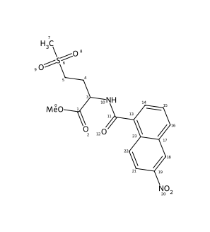 COC(=O)C(CCS(C)(=O)=O)NC(=O)c1cccc2cc([N+](=O)[O-])ccc12